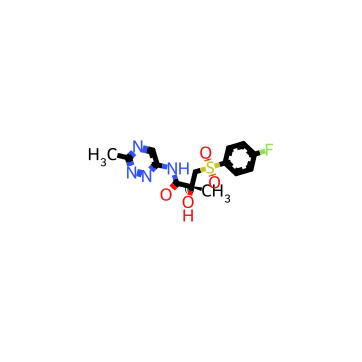 Cc1ncc(NC(=O)[C@@](C)(O)CS(=O)(=O)c2ccc(F)cc2)nn1